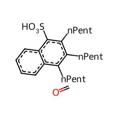 C=O.CCCCCc1c(CCCCC)c(S(=O)(=O)O)c2ccccc2c1CCCCC